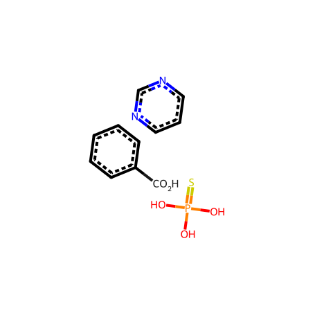 O=C(O)c1ccccc1.OP(O)(O)=S.c1cncnc1